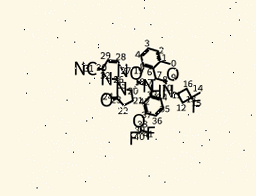 Cc1ccccc1[C@@H](C(=O)NC1CC(C)(F)C1)N(C(=O)[C@@H]1CCC(=O)N1c1nccc(C#N)n1)c1cccc(OC(F)F)c1